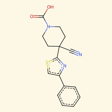 N#CC1(c2nc(-c3ccccc3)cs2)CCN(C(=O)O)CC1